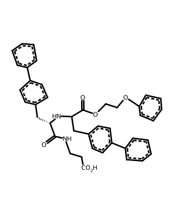 O=C(O)CCNC(=O)[C@H](Cc1ccc(-c2ccccc2)cc1)NC(Cc1ccc(-c2ccccc2)cc1)C(=O)OCCOc1ccccc1